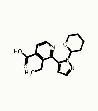 CCc1c(C(=O)O)ccnc1-c1ccnn1C1CCCCO1